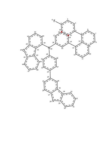 Fc1ccc(-c2cccc3cccc(-c4cccc(N(c5ccc(-c6ccc7sc8ccccc8c7c6)cc5)c5cccc6oc7ccccc7c56)c4)c23)cc1